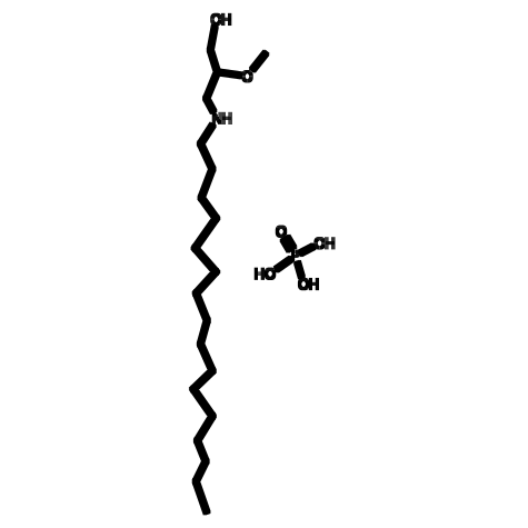 CCCCCCCCCCCCCCCCNCC(CO)OC.O=P(O)(O)O